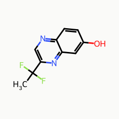 CC(F)(F)c1cnc2ccc(O)cc2n1